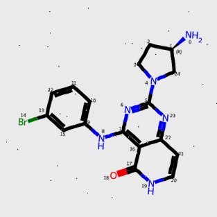 N[C@@H]1CCN(c2nc(Nc3cccc(Br)c3)c3c(=O)[nH]ccc3n2)C1